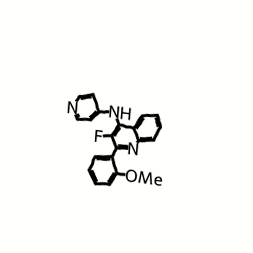 COc1ccccc1-c1nc2ccccc2c(Nc2ccncc2)c1F